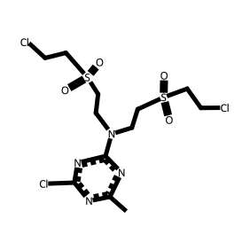 Cc1nc(Cl)nc(N(CCS(=O)(=O)CCCl)CCS(=O)(=O)CCCl)n1